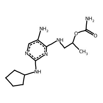 CC(CNc1nc(NC2CCCC2)ncc1N)OC(N)=O